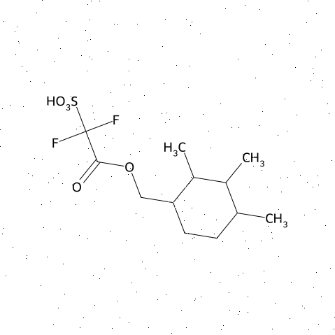 CC1CCC(COC(=O)C(F)(F)S(=O)(=O)O)C(C)C1C